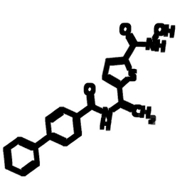 C=C(NC(=O)c1ccc(-c2ccccc2)cc1)c1ccc(C(=O)NO)s1